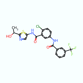 CC(O)c1ncc(NC(=O)c2cc(NC(=O)c3cccc(C(F)(F)F)c3)ccc2Cl)s1